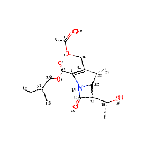 CC(=O)OCC1=C(C(=O)OCC(C)C)N2C(=O)[C@H]([C@@H](C)O)C2[C@H]1C